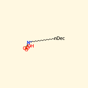 CCCCCCCCCCCCCCCCCCCCCCCCCCCC[N+](C)(C)CC(O)CS(=O)(=O)[O-]